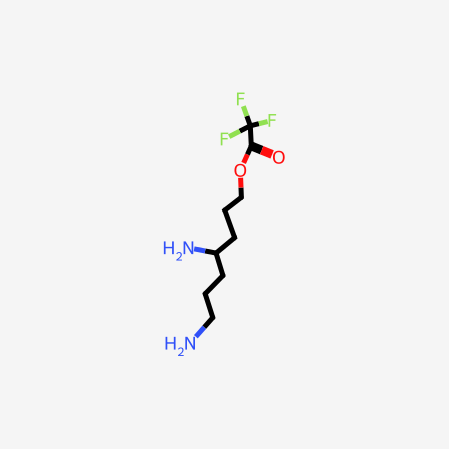 NCCCC(N)CCCOC(=O)C(F)(F)F